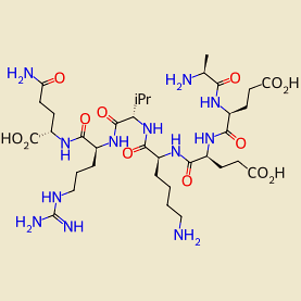 CC(C)[C@H](NC(=O)[C@H](CCCCN)NC(=O)[C@H](CCC(=O)O)NC(=O)[C@H](CCC(=O)O)NC(=O)[C@H](C)N)C(=O)N[C@@H](CCCNC(=N)N)C(=O)N[C@@H](CCC(N)=O)C(=O)O